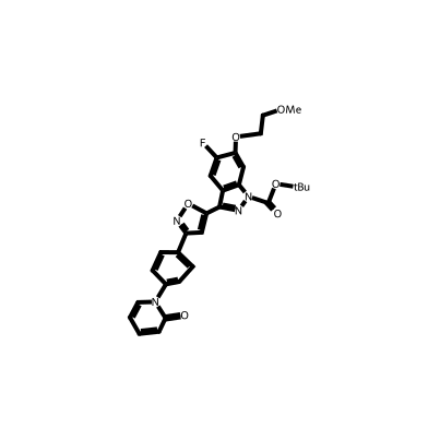 COCCOc1cc2c(cc1F)c(-c1cc(-c3ccc(-n4ccccc4=O)cc3)no1)nn2C(=O)OC(C)(C)C